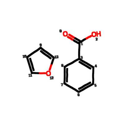 O=C(O)c1ccccc1.c1ccoc1